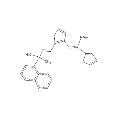 CN/C(=C\C1=C(/C=C/C(C)(C)c2cccc3ccccc23)CC=C1)C1=CC=CC1